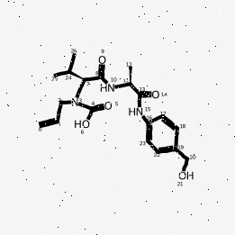 C=CCN(C(=O)O)[C@H](C(=O)N[C@@H](C)C(=O)Nc1ccc(CO)cc1)C(C)C